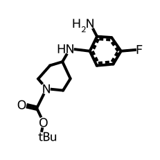 CC(C)(C)OC(=O)N1CCC(Nc2ccc(F)cc2N)CC1